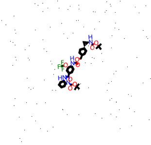 CC(C)(C)OC(=O)Nc1ccccc1NC(=O)c1ccc(NC(=O)OCc2ccc([C@H]3C[C@@H]3NC(=O)OC(C)(C)C)cc2)c(OC(F)(F)F)c1